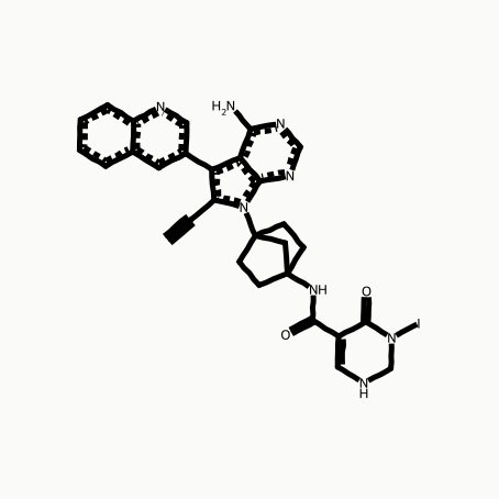 C#Cc1c(-c2cnc3ccccc3c2)c2c(N)ncnc2n1C12CCC(NC(=O)C3=CNCN(I)C3=O)(CC1)C2